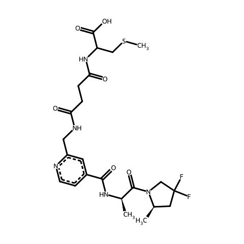 CSCC(NC(=O)CCC(=O)NCc1cc(C(=O)N[C@H](C)C(=O)N2CC(F)(F)C[C@H]2C)ccn1)C(=O)O